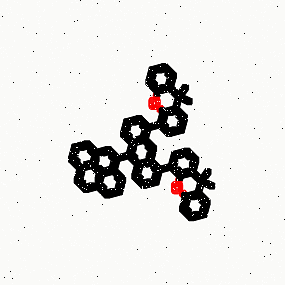 CC1(C)c2ccccc2Oc2c(-c3cccc4c(-c5cc6cccc7ccc8cccc5c8c76)c5cccc(-c6cccc7c6Oc6ccccc6C7(C)C)c5cc34)cccc21